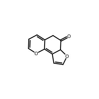 O=C1CC2=CC=COC2=C2C=COC12